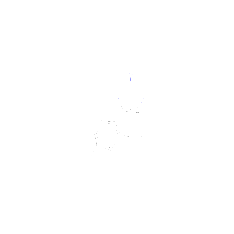 Cc1cc(C(F)(F)F)ccc1-c1[nH]c(N)nc1C